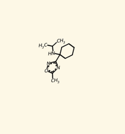 Cc1nc(C2(NC(C)C)CCCCC2)no1